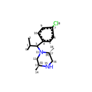 CC(C)C(c1ccc(Cl)cc1)N1C[C@H](C)NC[C@H]1C